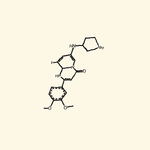 COc1ccc(C2=CC(=O)N3C=C(NC4CCNCC4)C=C(F)C3P2)cc1OC